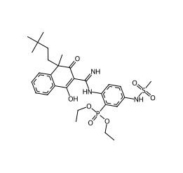 CCOP(=O)(OCC)c1cc(NS(C)(=O)=O)ccc1NC(=N)C1=C(O)c2ccccc2C(C)(CCC(C)(C)C)C1=O